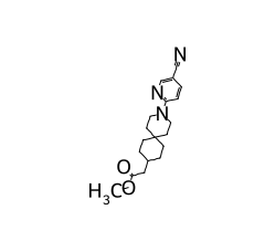 COC(=O)CC1CCC2(CC1)CCN(c1ccc(C#N)cn1)CC2